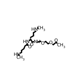 CNCCCCC(=O)N[C@@H](CCCCNC)C(=O)NCCOCCOCC(C)=O